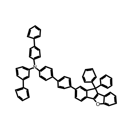 c1ccc(-c2ccc(N(c3ccc(-c4ccc(-c5ccc6c(c5)C(c5ccccc5)(c5ccccc5)c5c-6oc6ccccc56)cc4)cc3)c3cccc(-c4ccccc4)c3)cc2)cc1